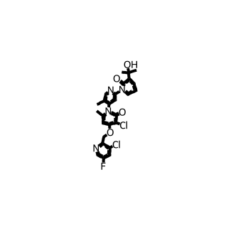 Cc1cnc(-n2cccc(C(C)(C)O)c2=O)cc1-n1c(C)cc(OCc2ncc(F)cc2Cl)c(Cl)c1=O